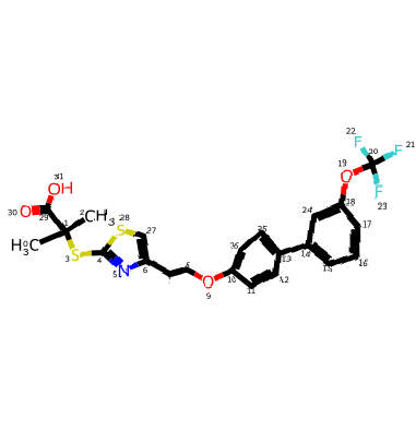 CC(C)(Sc1nc(CCOc2ccc(-c3cccc(OC(F)(F)F)c3)cc2)cs1)C(=O)O